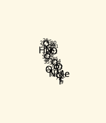 CNC(=O)c1c(-c2ccc(F)cc2)oc2ccc(-c3cc(NC(=O)C4(c5ccccc5)CC4)ccc3C)cc12